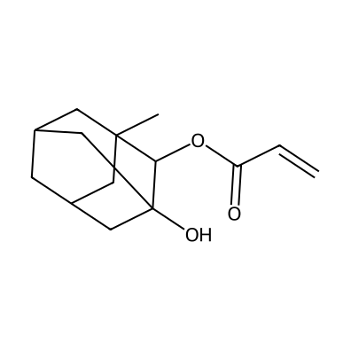 C=CC(=O)OC1C2(C)CC3CC(C2)CC1(O)C3